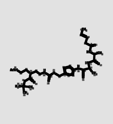 C/C=N/CC(=O)NC(C)C(=O)NC(C)C(=O)Nc1ccc(COC(=O)NCCN(CCNC(C)=O)C(=O)C[N+](C)(C)C)cc1